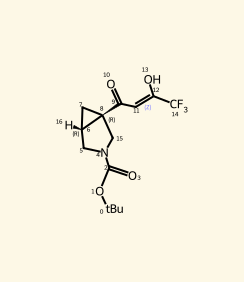 CC(C)(C)OC(=O)N1C[C@@H]2C[C@]2(C(=O)/C=C(\O)C(F)(F)F)C1